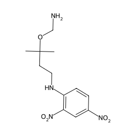 CC(C)(CCNc1ccc([N+](=O)[O-])cc1[N+](=O)[O-])OCN